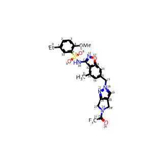 CCc1ccc(OC)c(S(=O)(=O)Nc2noc3cc(Cn4cc5c(n4)CN(C(=O)C(F)(F)F)C5)cc(C)c23)c1